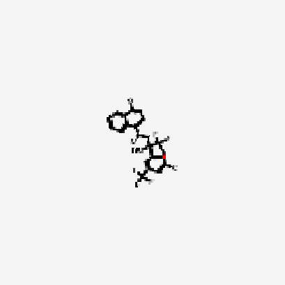 O=C(CC(O)(c1cc(Cl)cc(C(F)(F)F)c1)C(F)(F)F)c1ccc(Br)c2ccccc12